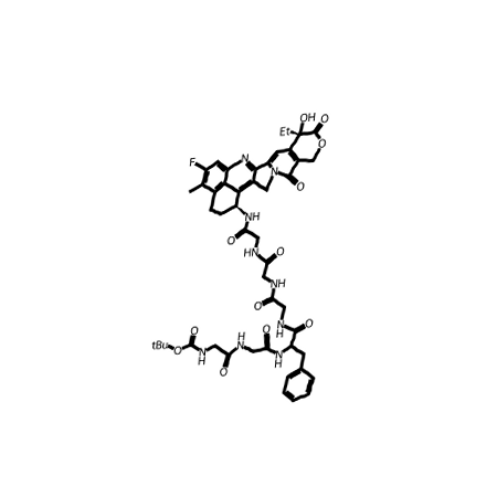 CC[C@@]1(O)C(=O)OCc2c1cc1n(c2=O)Cc2c-1nc1cc(F)c(C)c3c1c2[C@@H](NC(=O)CNC(=O)CNC(=O)CNC(=O)C(Cc1ccccc1)NC(=O)CNC(=O)CNC(=O)OC(C)(C)C)CC3